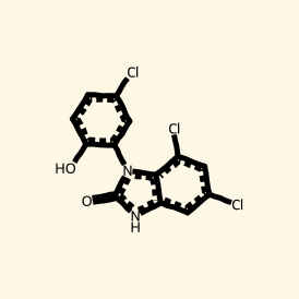 O=c1[nH]c2cc(Cl)cc(Cl)c2n1-c1cc(Cl)ccc1O